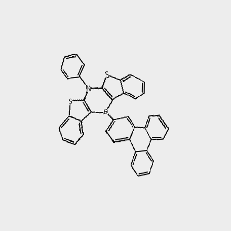 c1ccc(N2c3sc4ccccc4c3B(c3ccc4c5ccccc5c5ccccc5c4c3)c3c2sc2ccccc32)cc1